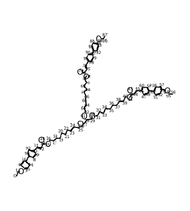 CCOc1ccc(-c2ccc(C=CC(=O)OCCCCCCCCCCOCC(COCCCCCCCCCCOC(=O)C=Cc3ccc(-c4ccc(OCC)cc4)cc3)OCCCCCCCCCCOC(=O)C=Cc3ccc(-c4ccc(OCC)cc4)cc3)cc2)cc1